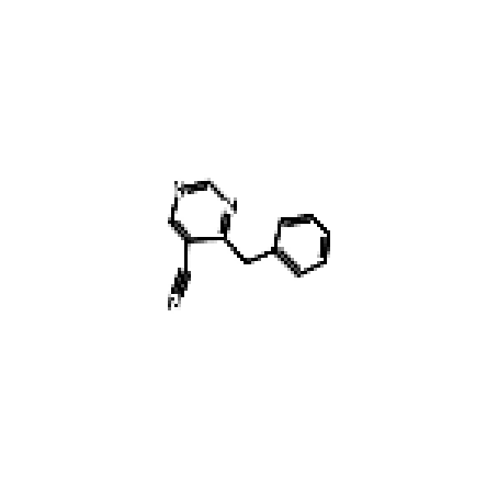 N#Cc1cncnc1Cc1ccccc1